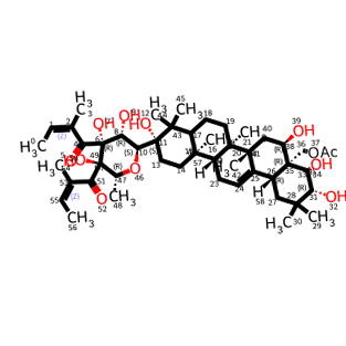 C/C=C(/C)C(=O)[C@@]1(O)[C@H](O)[C@@H]([C@]2(O)CC[C@@]3(C)C(CC[C@]4(C)[C@@H]3CC=C3[C@H]5CC(C)(C)[C@@H](O)[C@H](O)[C@]5(COC(C)=O)[C@H](O)C[C@]34C)C2(C)C)O[C@H](C)[C@]1(O)C(=O)/C(C)=C\C